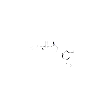 CC(C)(C)OC(=O)NC/C(=C\F)COc1cc(F)cc(C=O)c1